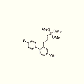 CO[Si](CCCc1cc(O)ccc1-c1ccc(F)cc1)(OC)OC